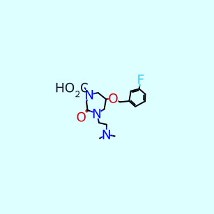 CN(C)CCN1CC(OCc2cccc(F)c2)CN(C(=O)O)CC1=O